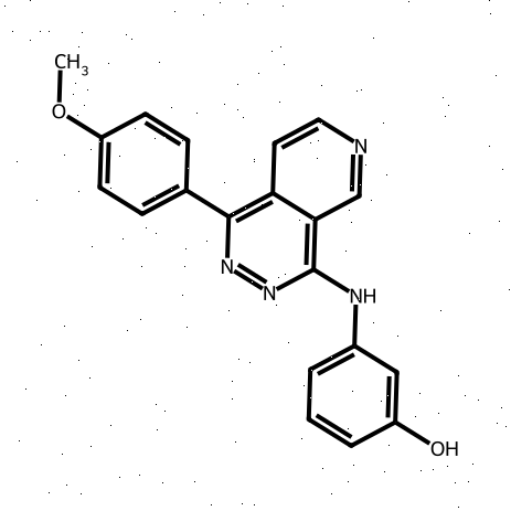 COc1ccc(-c2nnc(Nc3cccc(O)c3)c3cnccc23)cc1